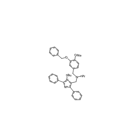 CCCCn1c(-c2ccccc2)nc(-c2ccccc2)c1CN(CCC)Cc1ccc(OC)c(OCc2ccccc2)c1